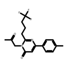 CC(=O)Cn1c(CCCC(F)(F)F)nc(-c2ccc(C)cc2)cc1=O